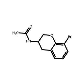 CC(=O)NC1COc2c(Br)cccc2C1